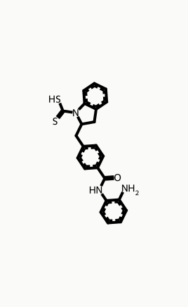 Nc1ccccc1NC(=O)c1ccc(CC2Cc3ccccc3N2C(=S)S)cc1